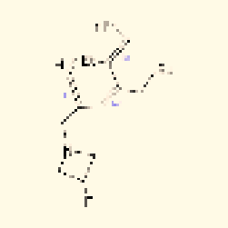 C\C=C(/C=C(CC(C)CC)\C(=C\CCC)CC)CN1CC(F)C1